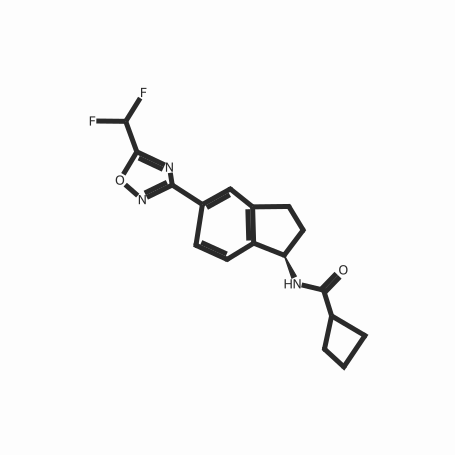 O=C(N[C@@H]1CCc2cc(-c3noc(C(F)F)n3)ccc21)C1CCC1